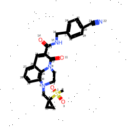 CS(=O)(=O)C1(CN2CCn3c(=O)c(C(=O)NCc4ccc(C#N)cc4)cc4cccc2c43)CC1